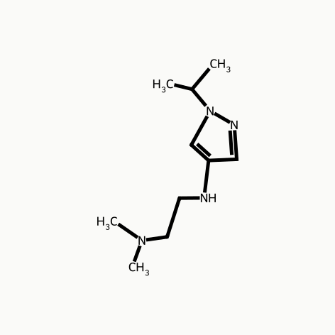 CC(C)n1cc(NCCN(C)C)cn1